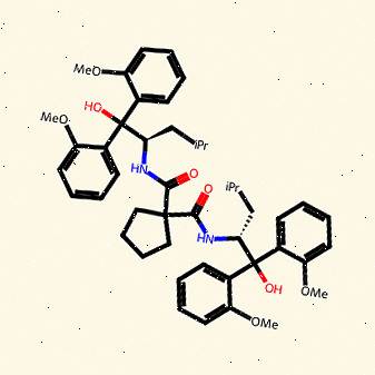 COc1ccccc1C(O)(c1ccccc1OC)[C@@H](CC(C)C)NC(=O)C1(C(=O)N[C@H](CC(C)C)C(O)(c2ccccc2OC)c2ccccc2OC)CCCC1